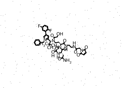 CC(C)(C)[C@H](c1cc(-c2cc(F)ccc2F)cn1Cc1ccccc1)N(CC[C@H](NC(=O)[C@H](CC(N)=O)NC(=O)O)C(=O)NCCNC(=O)CN1C(=O)C=CC1=O)C(=O)CO